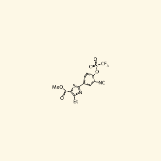 [C-]#[N+]c1cc(-c2nc(CC)c(C(=O)OC)s2)ccc1OS(=O)(=O)C(F)(F)F